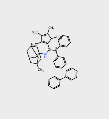 CC1=C(C)C(C)[C]([Zr]([NH]C23CC4CC(CC(C)(C4)C2)C3)[SiH](c2ccccc2)c2ccccc2)=C1C.c1ccc(-c2ccccc2)cc1